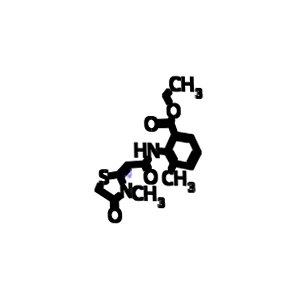 CCOC(=O)c1cccc(C)c1NC(=O)/C=C1/SCC(=O)N1C